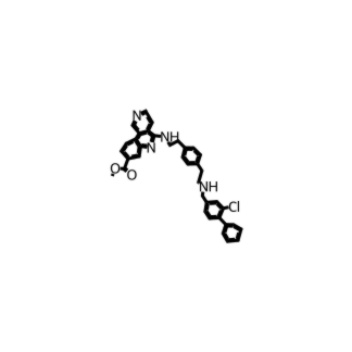 COC(=O)c1ccc2c(c1)nc(NCCc1ccc(CCNCc3ccc(-c4ccccc4)c(Cl)c3)cc1)c1ccncc12